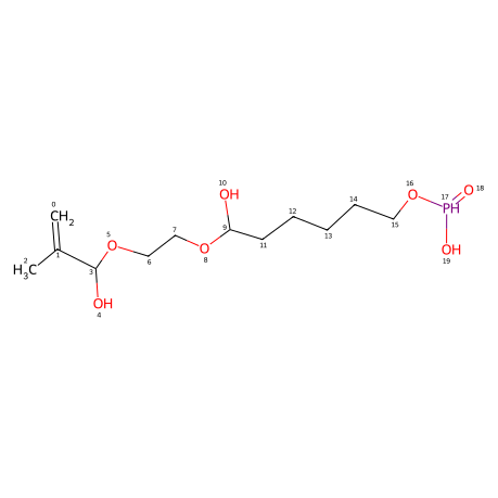 C=C(C)C(O)OCCOC(O)CCCCCO[PH](=O)O